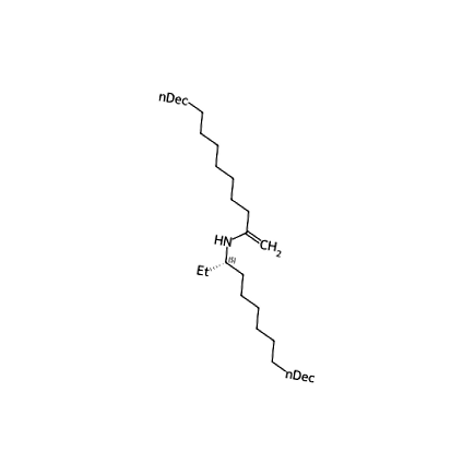 C=C(CCCCCCCCCCCCCCCCC)N[C@@H](CC)CCCCCCCCCCCCCCCC